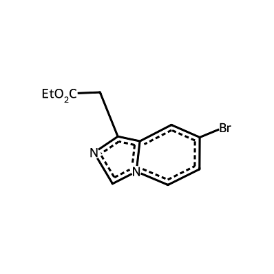 CCOC(=O)Cc1ncn2ccc(Br)cc12